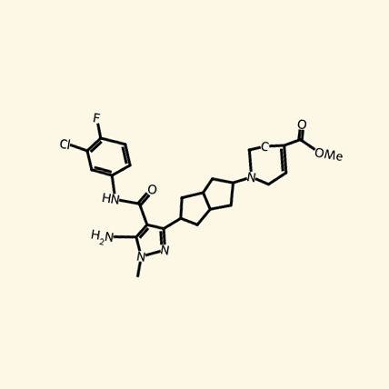 COC(=O)C1=CCN(C2CC3CC(c4nn(C)c(N)c4C(=O)Nc4ccc(F)c(Cl)c4)CC3C2)CC1